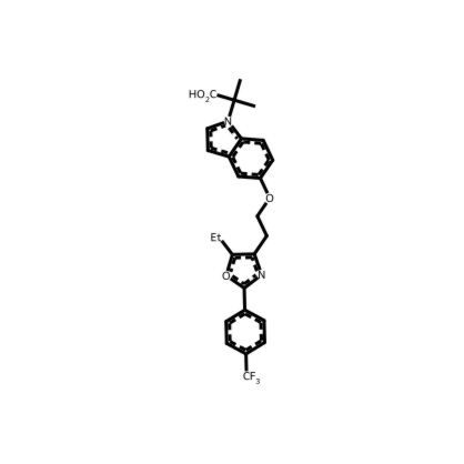 CCc1oc(-c2ccc(C(F)(F)F)cc2)nc1CCOc1ccc2c(ccn2C(C)(C)C(=O)O)c1